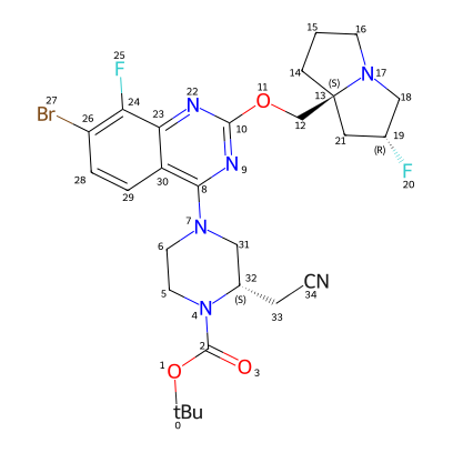 CC(C)(C)OC(=O)N1CCN(c2nc(OC[C@@]34CCCN3C[C@H](F)C4)nc3c(F)c(Br)ccc23)C[C@@H]1CC#N